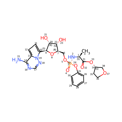 C[C@H](N[P@](=O)(OC[C@H]1O[C@@H](c2ccc3c(N)ncnn23)[C@H](O)[C@@H]1O)Oc1ccccc1)C(=O)O[C@H]1CCOC1